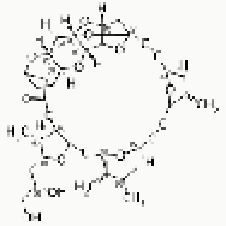 C=C1C[C@@H]2CC[C@@]34C[C@H]5O[C@H]6[C@@H](O3)[C@H]3OC(CC[C@@H]3O[C@H]6C5O4)CC(=O)C[C@H]3C(C[C@H]4O[C@@H](CCC1O2)C[C@@H](C)C4=C)O[C@H](C[C@H](O)CO)[C@@H]3C